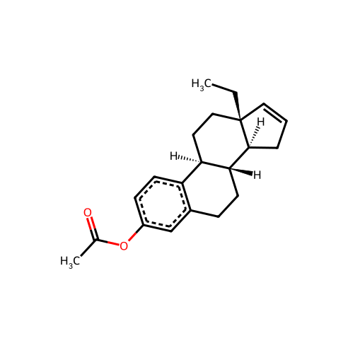 CC[C@@]12C=CC[C@H]1[C@@H]1CCc3cc(OC(C)=O)ccc3[C@H]1CC2